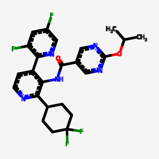 CC(C)Oc1ncc(C(=O)Nc2c(-c3ncc(F)cc3F)ccnc2C2CCC(F)(F)CC2)cn1